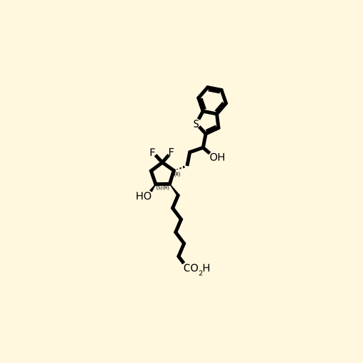 O=C(O)CCCCCC[C@@H]1[C@@H](CCC(O)c2cc3ccccc3s2)C(F)(F)C[C@@H]1O